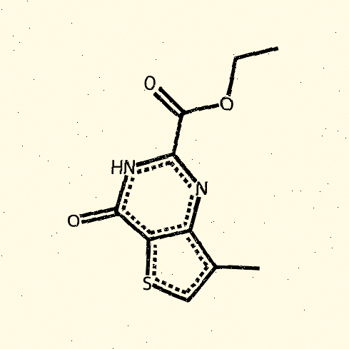 CCOC(=O)c1nc2c(C)csc2c(=O)[nH]1